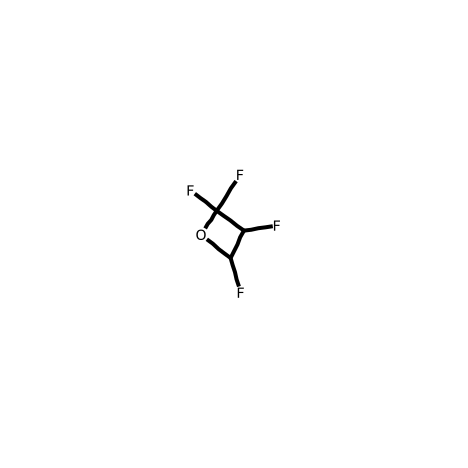 FC1OC(F)(F)C1F